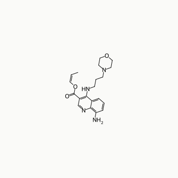 C/C=C\OC(=O)c1cnc2c(N)cccc2c1NCCCN1CCOCC1